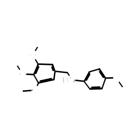 COc1cc(CNc2ccc(SC)cc2)cc(OC)c1OC